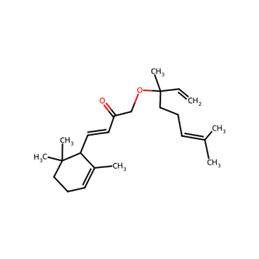 C=CC(C)(CCC=C(C)C)OCC(=O)/C=C/C1C(C)=CCCC1(C)C